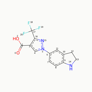 O=C(O)c1cn(-c2ccc3c(c2)CCN3)nc1C(F)(F)F